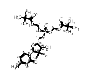 CC(C)(C)C(=O)OCOP(=O)(OCOC(=O)C(C)(C)C)OC[C@H]1O[C@@H](n2ccc(N)nc2=O)C(F)(F)[C@@H]1O